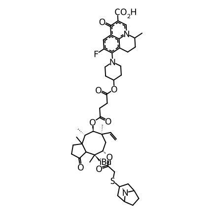 C=C[C@@]1(C)C[C@H](OC(=O)CSC2CC3CCC(C2)N3C)[C@@](C)(C(C)CC)C2C(=O)CCC2(C)[C@H](C)[C@H]1OC(=O)CCC(=O)OC1CCN(c2c(F)cc3c(=O)c(C(=O)O)cn4c3c2CCC4C)CC1